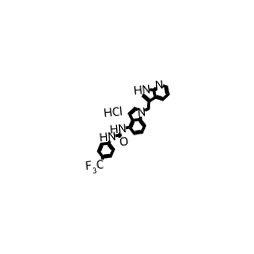 Cl.O=C(Nc1ccc(C(F)(F)F)cc1)Nc1cccc2c1ccn2Cc1c[nH]c2ncccc12